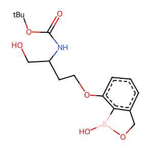 CC(C)(C)OC(=O)NC(CO)CCOc1cccc2c1B(O)OC2